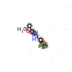 CC(O)c1ccccc1-c1ccc2[nH]c(C=Cc3ccc(OC(C(F)(F)F)C(F)(F)F)cc3)nc2c1